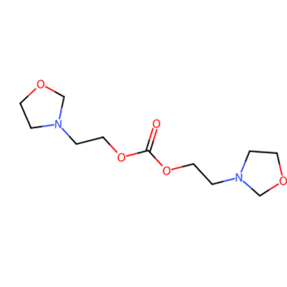 O=C(OCCN1CCOC1)OCCN1CCOC1